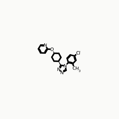 Cc1cc(Cl)ccc1-n1cnnc1[C@H]1CC[C@H](Oc2ccccn2)CC1